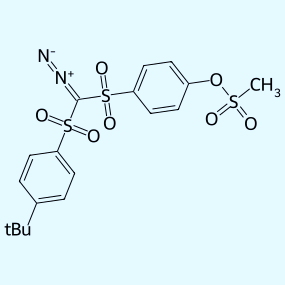 CC(C)(C)c1ccc(S(=O)(=O)C(=[N+]=[N-])S(=O)(=O)c2ccc(OS(C)(=O)=O)cc2)cc1